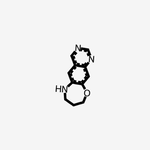 c1ncc2cc3c(cc2n1)OCCCN3